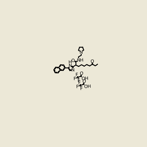 CCC(=O)CCCCCC(C(=O)NCCN1CCCC1)c1ncc(-c2ccc3ccccc3c2)[nH]1.O=C(O)C(F)(F)F.O=C(O)C(F)(F)F